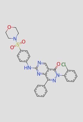 O=c1c2cnc(Nc3ccc(S(=O)(=O)N4CCOCC4)cc3)nc2c(-c2ccccc2)nn1-c1ccccc1Cl